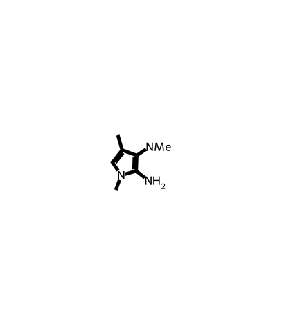 CNc1c(C)cn(C)c1N